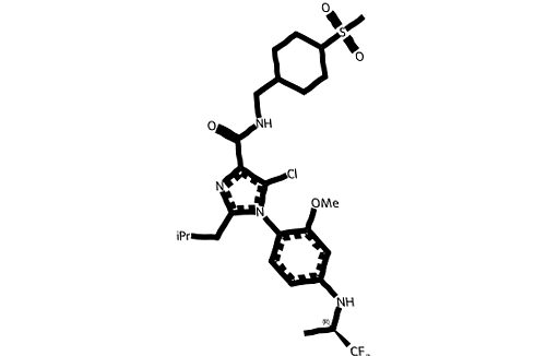 COc1cc(N[C@H](C)C(F)(F)F)ccc1-n1c(CC(C)C)nc(C(=O)NCC2CCC(S(C)(=O)=O)CC2)c1Cl